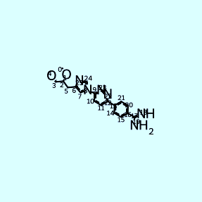 COC(C=O)Cc1cn(-c2ccc(-c3ccc(C(=N)N)cc3)nn2)cn1